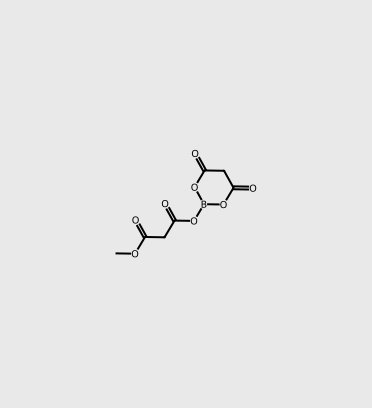 COC(=O)CC(=O)OB1OC(=O)CC(=O)O1